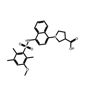 COc1cc(C)c(C)c(S(=O)(=O)Nc2ccc(N3CCC(C(=O)O)C3)c3ccccc23)c1C